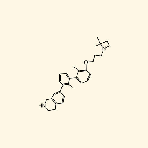 Cc1c(OCCCN2CCC2(C)C)cccc1-c1cccc(-c2ccc3c(c2)CNCC3)c1C